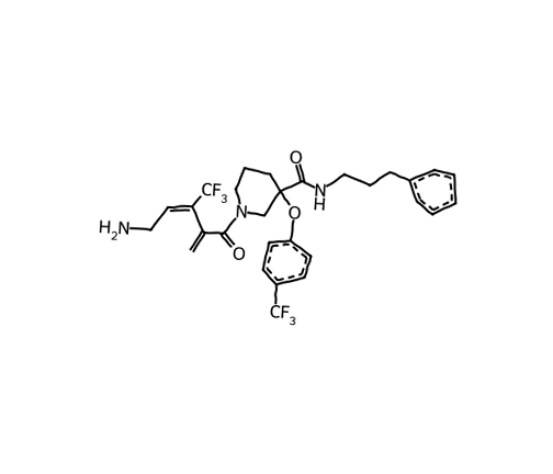 C=C(C(=O)N1CCCC(Oc2ccc(C(F)(F)F)cc2)(C(=O)NCCCc2ccccc2)C1)/C(=C\CN)C(F)(F)F